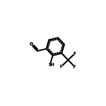 O=Cc1cccc(C(F)(F)F)c1S